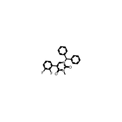 Cn1c(=O)c(-c2cccc(F)c2F)cn(C(c2ccccc2)c2ccccc2)c1=O